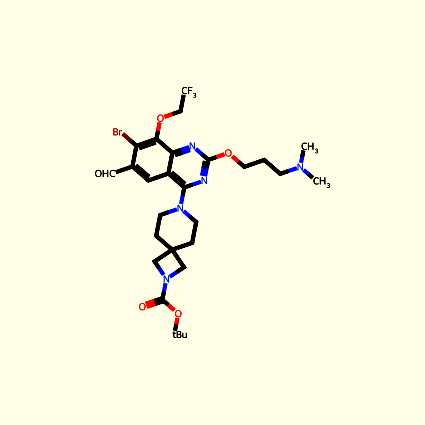 CN(C)CCCOc1nc(N2CCC3(CC2)CN(C(=O)OC(C)(C)C)C3)c2cc(C=O)c(Br)c(OCC(F)(F)F)c2n1